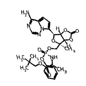 C[C@H](N[P@](=O)(OC[C@@]1(C)O[C@@H](c2ccc3c(N)ncnn23)[C@@H]2OC(=O)O[C@@H]21)Oc1ccccc1)C(=O)OCC(C)(C)C